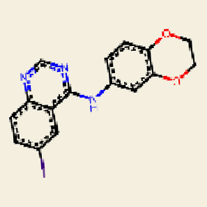 Ic1ccc2ncnc(Nc3ccc4c(c3)OCCO4)c2c1